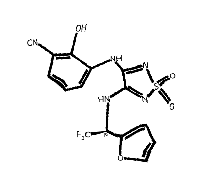 [C-]#[N+]c1cccc(NC2=NS(=O)(=O)N=C2N[C@@H](c2ccco2)C(F)(F)F)c1O